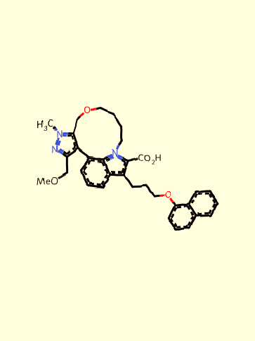 COCc1nn(C)c2c1-c1cccc3c(CCCOc4cccc5ccccc45)c(C(=O)O)n(c13)CCCCOC2